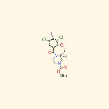 CC(C)(C)OC(=O)N1CCN2C(=O)c3cc(Cl)c(I)c(Cl)c3OCC[C@@H]2C1